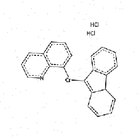 C1=CC2=[C]([Cr][c]3cccc4cccnc34)c3ccccc3C2C=C1.Cl.Cl